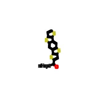 CCCCCCCC(=O)c1cc2sc3cc4c(cc3c2s1)sc1ccsc14